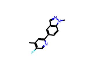 Cc1cc(-c2ccc3c(cnn3C)c2)ncc1F